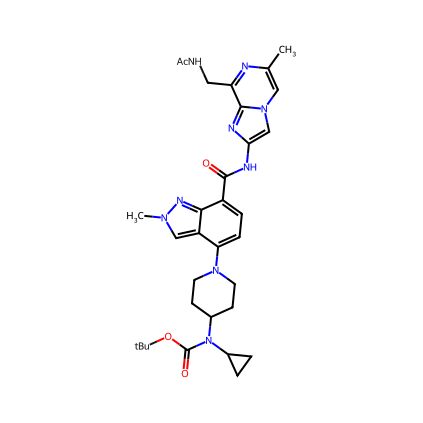 CC(=O)NCc1nc(C)cn2cc(NC(=O)c3ccc(N4CCC(N(C(=O)OC(C)(C)C)C5CC5)CC4)c4cn(C)nc34)nc12